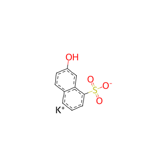 O=S(=O)([O-])c1cccc2ccc(O)cc12.[K+]